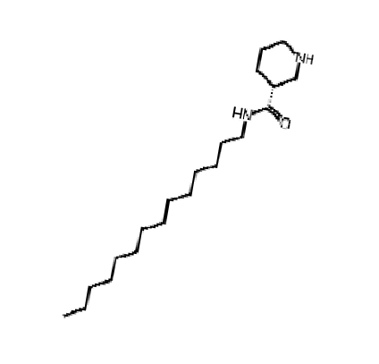 CCCCCCCCCCCCCCNC(=O)[C@@H]1CCCNC1